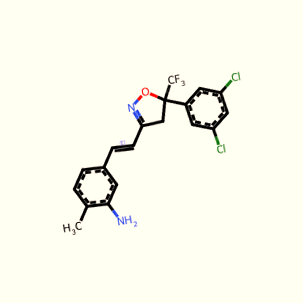 Cc1ccc(/C=C/C2=NOC(c3cc(Cl)cc(Cl)c3)(C(F)(F)F)C2)cc1N